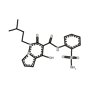 CC(C)CCn1c(=O)c(C(=O)Nc2ccccc2S(N)(=O)=O)c(O)c2cccn21